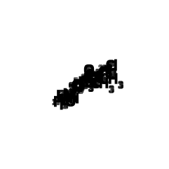 CON(Cc1ccc(-c2noc(C(F)(F)F)n2)cc1)C(=O)C1C(C=C(Cl)Cl)C1(C)C